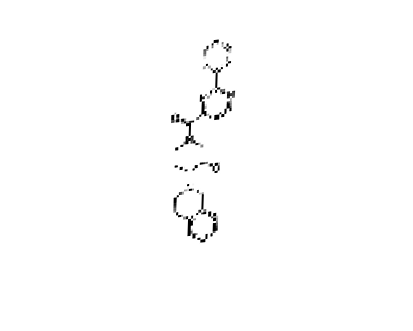 O=C(c1ccnc(-c2ccccc2)n1)N1CCC(N2CCc3ccccc3C2)C(O)C1